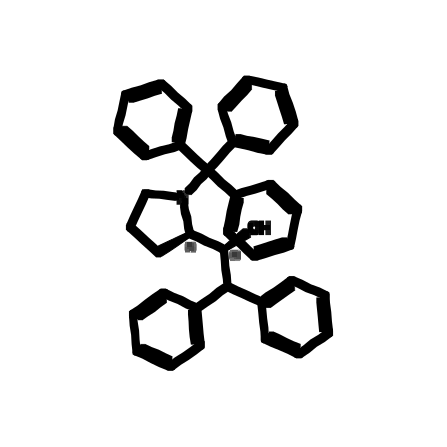 O[C@@H](C(c1ccccc1)c1ccccc1)[C@H]1CCCN1C(c1ccccc1)(c1ccccc1)c1ccccc1